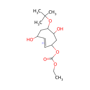 CCOC(=O)OC1/C=C/C(O)CC(OC(C)(C)C)C(O)C1